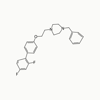 Fc1ccc(-c2ccc(OCCN3CCN(Cc4ccccc4)CC3)cc2)c(F)c1